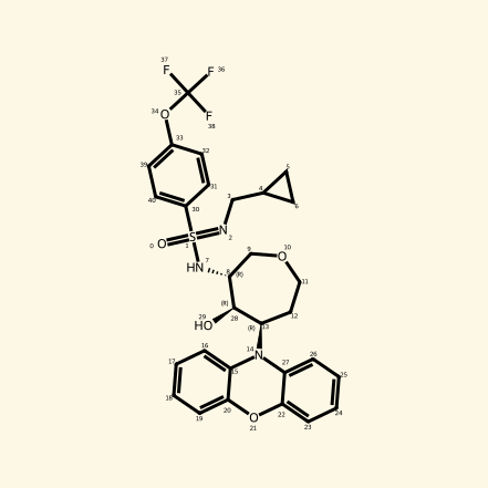 O=S(=NCC1CC1)(N[C@@H]1COCC[C@@H](N2c3ccccc3Oc3ccccc32)[C@H]1O)c1ccc(OC(F)(F)F)cc1